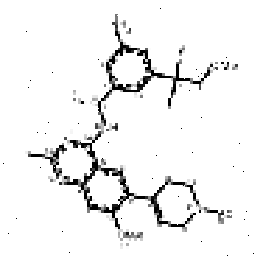 COCC(F)(F)c1cc(N)cc([C@@H](C)Nc2nc(C)nc3cc(OC)c(C4=CCN(C(C)=O)CC4)cc23)c1